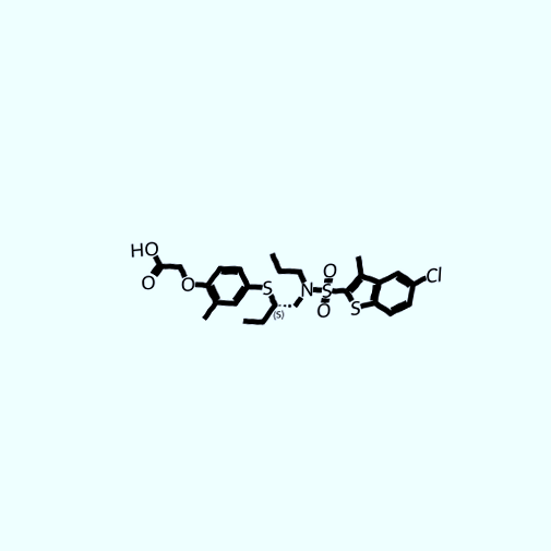 CCCN(C[C@H](CC)Sc1ccc(OCC(=O)O)c(C)c1)S(=O)(=O)c1sc2ccc(Cl)cc2c1C